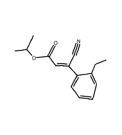 CCc1ccccc1C(C#N)=CC(=O)OC(C)C